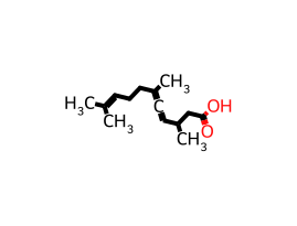 CC(=C=CC(C)CC(=O)O)CCC=C(C)C